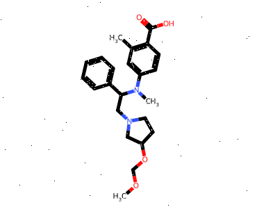 COCOC1CCN(CC(c2ccccc2)N(C)c2ccc(C(=O)O)c(C)c2)C1